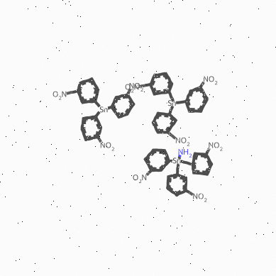 O=[N+]([O-])c1ccc[c]([Sn]([c]2cccc([N+](=O)[O-])c2)[c]2cccc([N+](=O)[O-])c2)c1.O=[N+]([O-])c1ccc[c]([Sn]([c]2cccc([N+](=O)[O-])c2)[c]2cccc([N+](=O)[O-])c2)c1.[NH2][Sn]([c]1cccc([N+](=O)[O-])c1)([c]1cccc([N+](=O)[O-])c1)[c]1cccc([N+](=O)[O-])c1